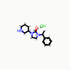 CC(c1ccccc1)N1CCN(C2CCCNC2)C1=O.Cl